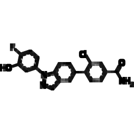 NC(=O)c1ccc(-c2ccc3c(cnn3-c3ccc(F)c(O)c3)c2)c(Cl)c1